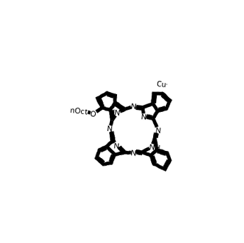 CCCCCCCCOc1cccc2c3nc4nc(nc5[nH]c(nc6nc(nc([nH]3)c12)-c1ccccc1-6)c1ccccc51)-c1ccccc1-4.[Cu]